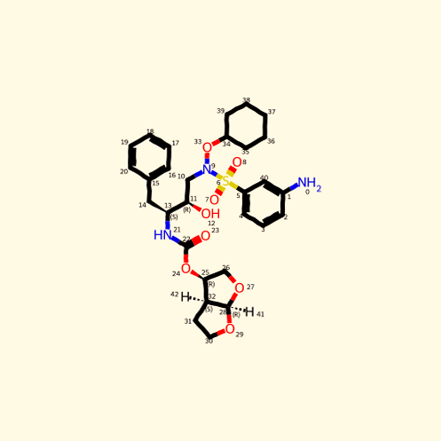 Nc1cccc(S(=O)(=O)N(C[C@@H](O)[C@H](Cc2ccccc2)NC(=O)O[C@H]2CO[C@H]3OCC[C@H]32)OC2CCCCC2)c1